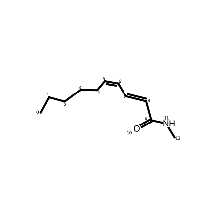 CCCCC/C=C\C=C\C(=O)NC